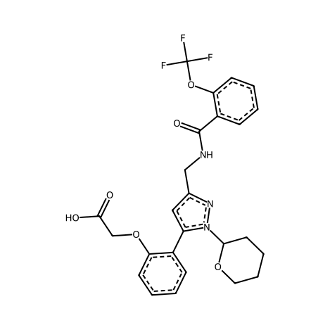 O=C(O)COc1ccccc1-c1cc(CNC(=O)c2ccccc2OC(F)(F)F)nn1C1CCCCO1